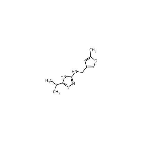 Cc1cc(CNc2nnc(N(C)C)[nH]2)co1